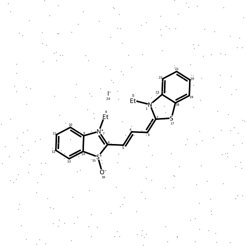 CCN1C(=CC=Cc2[n+](CC)c3ccccc3[s+]2[O-])Sc2ccccc21.[I-]